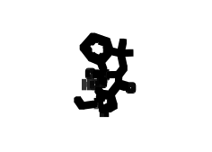 CCn1ncc(C(=O)C2CC(C)(C)c3ccccc3S2(=O)=O)c1O